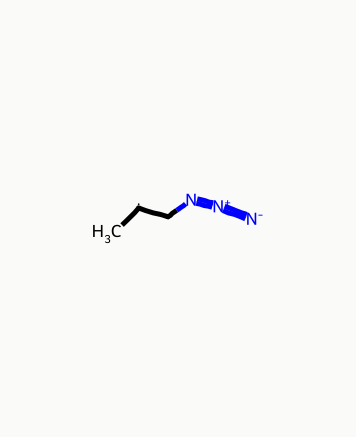 C[CH]CN=[N+]=[N-]